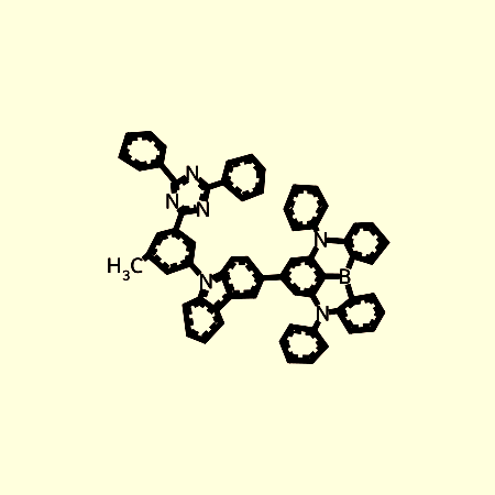 Cc1cc(-c2nc(-c3ccccc3)nc(-c3ccccc3)n2)cc(-n2c3ccccc3c3cc(-c4cc5c6c(c4)N(c4ccccc4)c4ccccc4B6c4ccccc4N5c4ccccc4)ccc32)c1